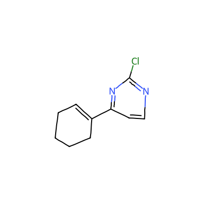 Clc1nccc(C2=CCCCC2)n1